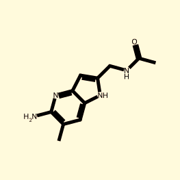 CC(=O)NCc1cc2nc(N)c(C)cc2[nH]1